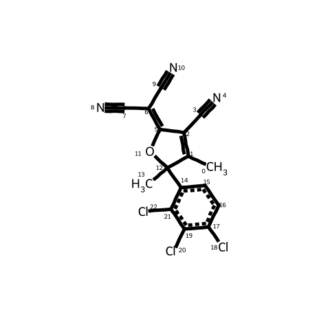 CC1=C(C#N)C(=C(C#N)C#N)OC1(C)c1ccc(Cl)c(Cl)c1Cl